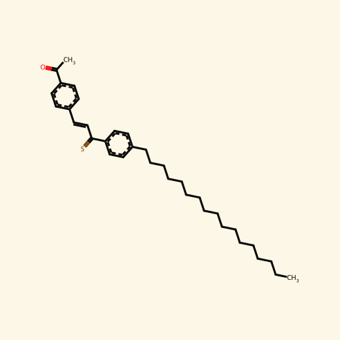 CCCCCCCCCCCCCCCCCc1ccc(C(=S)C=Cc2ccc(C(C)=O)cc2)cc1